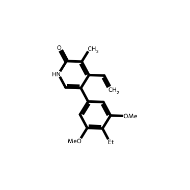 C=Cc1c(-c2cc(OC)c(CC)c(OC)c2)c[nH]c(=O)c1C